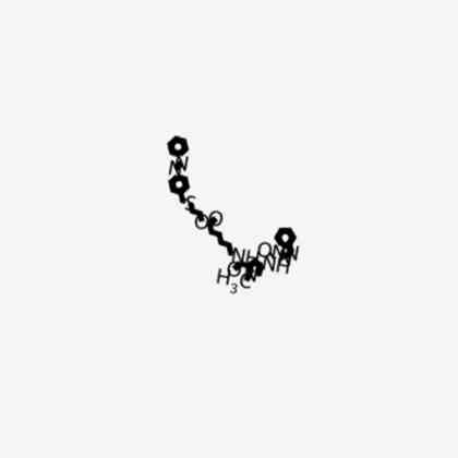 Cn1cc(NC(=O)n2nnc3ccccc32)cc1C(=O)NCCCCCC(=O)OCCSCc1ccc(N=Nc2ccccc2)cc1